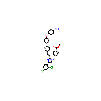 COC(=O)c1ccc(Cn2cc(-c3ccc(Cl)cc3Cl)nc2/C=C/c2ccc(-c3ccc(Oc4ccc(N)cc4)cc3)cc2)cc1